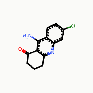 Nc1c2c(nc3cc(Cl)ccc13)CCCC2=O